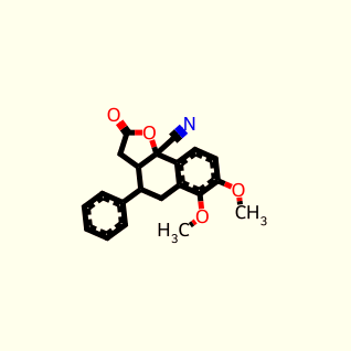 COc1ccc2c(c1OC)CC(c1ccccc1)C1CC(=O)OC21C#N